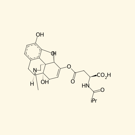 CC(C)C(=O)N[C@@H](CC(=O)OC1=CC[C@@]2(O)[C@H]3Cc4ccc(O)c5c4[C@@]2(CCN3C)[C@H]1O5)C(=O)O